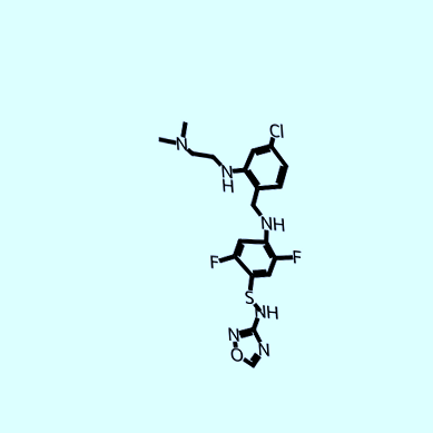 CN(C)CCNc1cc(Cl)ccc1CNc1cc(F)c(SNc2ncon2)cc1F